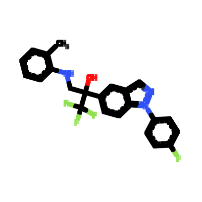 Cc1ccccc1NCC(O)(c1ccc2c(cnn2-c2ccc(F)cc2)c1)C(F)(F)F